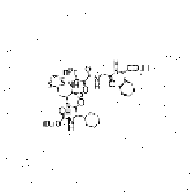 CCCC(NC(=O)C(CC1SCCS1)NC(=O)C(NC(=O)OCC(C)C)C1CCCCC1)C(=O)C(=O)NCC(=O)NC(C(=O)O)c1ccccc1